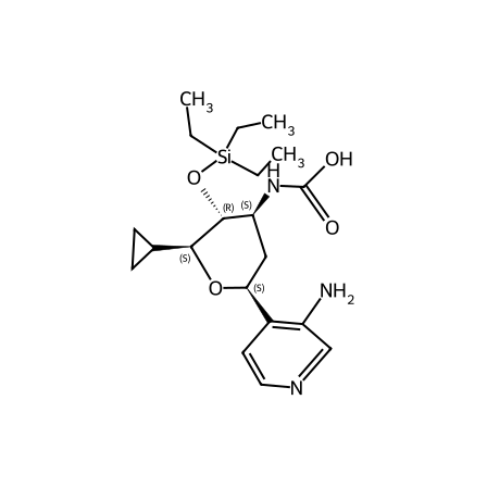 CC[Si](CC)(CC)O[C@@H]1[C@@H](NC(=O)O)C[C@@H](c2ccncc2N)O[C@H]1C1CC1